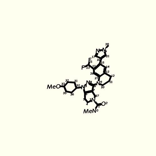 CNC(=O)N1CCc2c(c(N3CCCc4cc(-c5cnn(C)c5)c(C(F)F)cc43)nn2C2CCC(OC)CC2)C1